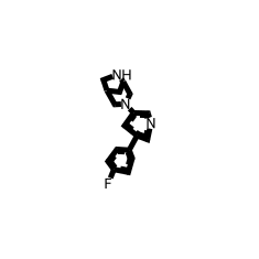 Fc1ccc(-c2cncc(N3CC4CNC(C4)C3)c2)cc1